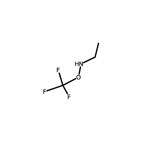 CCNOC(F)(F)F